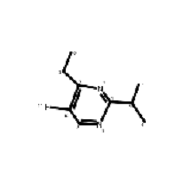 CCc1nc(C(C)C)ncc1F